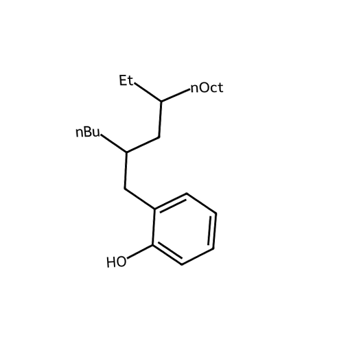 CCCCCCCCC(CC)CC(CCCC)Cc1ccccc1O